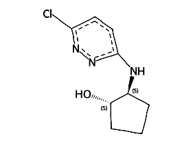 O[C@H]1CCC[C@@H]1Nc1ccc(Cl)nn1